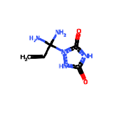 C=CC(N)(N)n1[nH]c(=O)[nH]c1=O